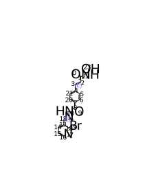 O=C(/C=C/c1ccc(C(=O)N/N=C/c2cccnc2Br)cc1)NO